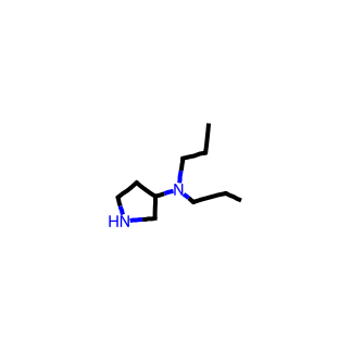 CCCN(CCC)C1CCNC1